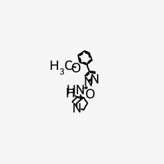 COc1ccccc1-c1cnn(C(=O)N[C@H]2CN3CCC2CC3)c1